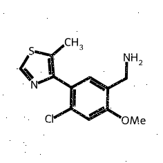 COc1cc(Cl)c(-c2n[c]sc2C)cc1CN